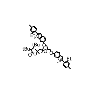 CCc1cc(C)ccc1-c1cc2ccc(OCC(COc3ccc4cc(-c5ccc(C)cc5CC)n(C)c4c3)OC(C)(C)CC(C)(C)OC(=O)C(CC(C)(C)C)C(C)(C)C)cc2n1C